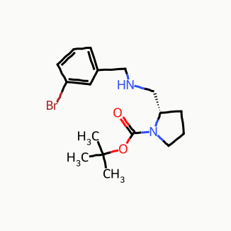 CC(C)(C)OC(=O)N1CCC[C@H]1CNCc1cccc(Br)c1